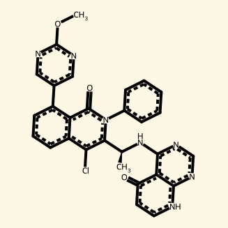 COc1ncc(-c2cccc3c(Cl)c([C@H](C)Nc4ncnc5[nH]ccc(=O)c45)n(-c4ccccc4)c(=O)c23)cn1